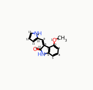 COc1cccc2c1/C(=C/c1ccc[nH]1)C(=O)N2